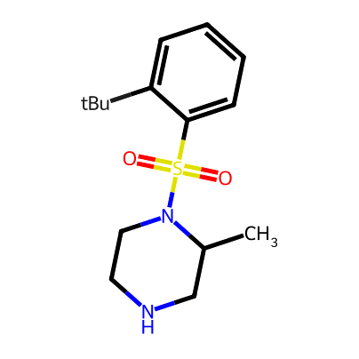 CC1CNCCN1S(=O)(=O)c1ccccc1C(C)(C)C